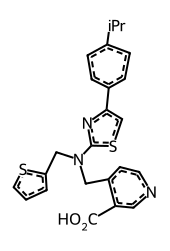 CC(C)c1ccc(-c2csc(N(Cc3cccs3)Cc3ccncc3C(=O)O)n2)cc1